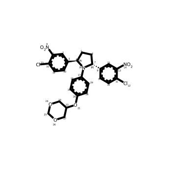 O=[N+]([O-])c1cc([C@H]2CC[C@H](c3ccc(Cl)c([N+](=O)[O-])c3)N2c2ccc(OC3COCOC3)cc2)ccc1Cl